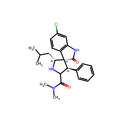 CC(C)C[C@H]1NC(C(=O)N(C)C)[C@H](c2ccccc2)[C@@]12C(=O)Nc1cc(Cl)ccc12